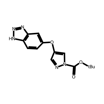 CC(C)(C)OC(=O)n1cc(Oc2ccc3[nH]nnc3c2)cn1